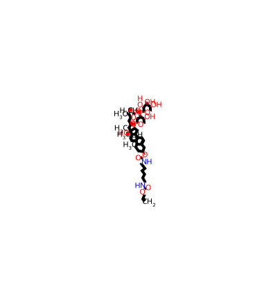 C=CCOC(=O)NCCCCCCNC(=O)O[C@H]1CC[C@@]2(C)C(=CC[C@@H]3C2CC[C@@]2(C)[C@H]3C[C@H](OC3OCC(O)C(OC4OCC(O)C(O)C4O)C3OC(C)=O)[C@]2(O)[C@H](C)C(=O)CCC(C)C)C1